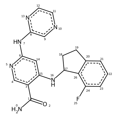 NC(=O)c1cnc(Nc2cnccn2)cc1NC1CCc2cccc(F)c21